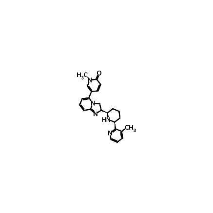 Cc1cccnc1[C@@H]1CCC[C@H](C2CN3C(c4ccc(=O)n(C)c4)=CC=CC3=N2)N1